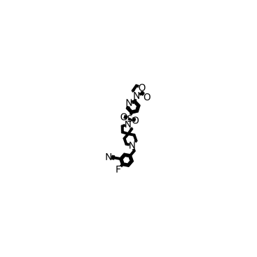 N#Cc1cc(CN2CCC3(CC2)CCN(S(=O)(=O)c2ccc(N4CCOC4=O)nc2)C3)ccc1F